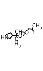 CC(I)COCOC(C)(C)C1CCNC1